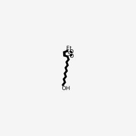 CCC1C=CC(CCCCCCCCCCO)S1(=O)=O